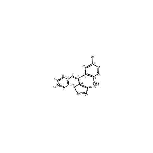 Cc1ccc(O)c(C(=Cc2ccncc2)c2cccs2)c1